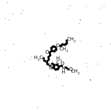 C=C/C=C\C=C(/C)Oc1ccc(C(=O)CCCC(CCC)Cn2cc3c(C)c(C(=O)NCCOC)ccc3n2)cc1